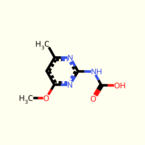 COc1cc(C)nc(NC(=O)O)n1